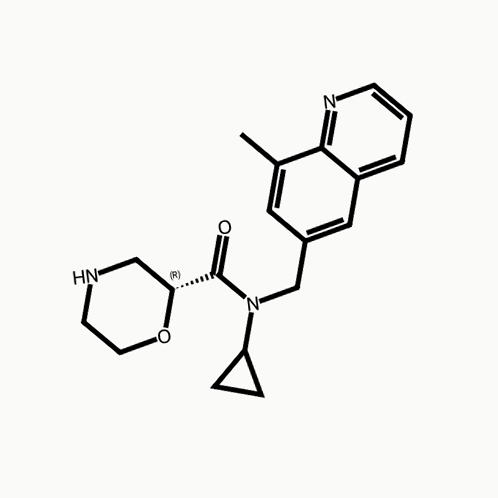 Cc1cc(CN(C(=O)[C@H]2CNCCO2)C2CC2)cc2cccnc12